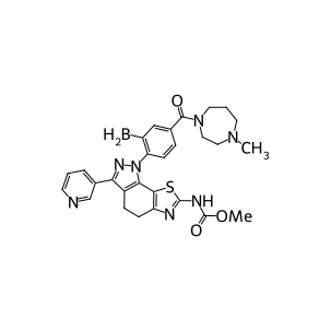 Bc1cc(C(=O)N2CCCN(C)CC2)ccc1-n1nc(-c2cccnc2)c2c1-c1sc(NC(=O)OC)nc1CC2